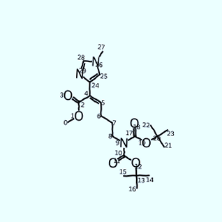 COC(=O)/C(=C\CCCN(C(=O)OC(C)(C)C)C(=O)OC(C)(C)C)c1cn(C)cn1